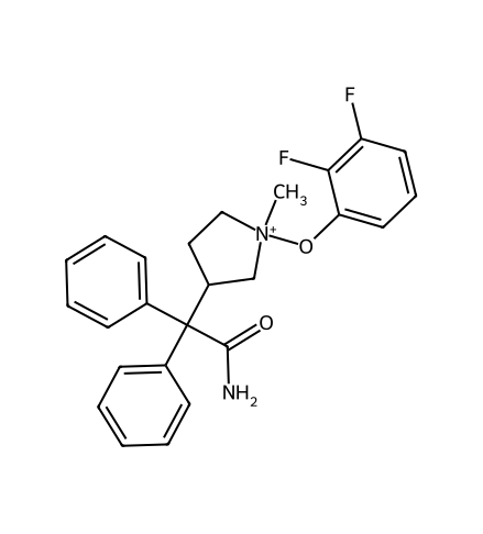 C[N+]1(Oc2cccc(F)c2F)CCC(C(C(N)=O)(c2ccccc2)c2ccccc2)C1